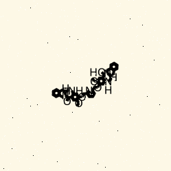 COc1cc2c(cc1OCc1cccc(COc3cc4c(cc3OC)C(O)N3Cc5ccccc5C[C@H]3CN4)n1)NC[C@@H]1Cc3ccccc3CN1C2=O